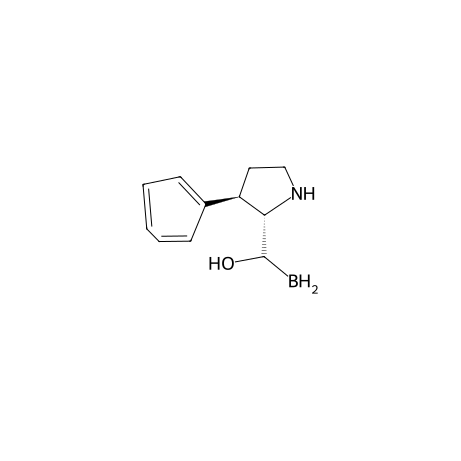 BC(O)[C@H]1NCC[C@@H]1c1ccccc1